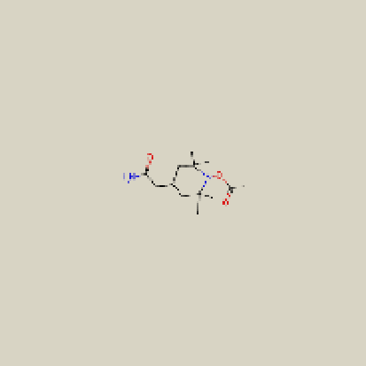 CC(=O)ON1C(C)(C)CC(CC(N)=O)CC1(C)C